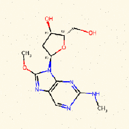 CNc1ncc2nc(OC)n([C@H]3C[C@@H](O)[C@H](CO)O3)c2n1